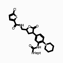 CCCCCCCC(=O)Nc1cc(C2CC(CNC(=O)c3ccc(Cl)s3)OC2=O)ccc1N1CCCCC1